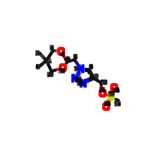 CC1(C)COC(Cn2cc(COS(C)(=O)=O)nn2)OC1